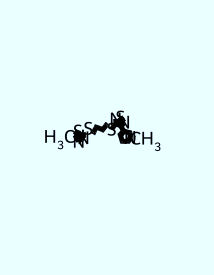 Cc1nnc(SCCCCSc2nsnc2C2=CCCN(C)C2)s1